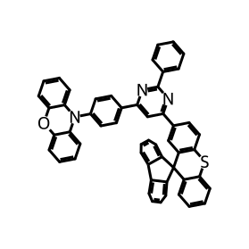 c1ccc(-c2nc(-c3ccc(N4c5ccccc5Oc5ccccc54)cc3)cc(-c3ccc4c(c3)C3(c5ccccc5S4)c4ccccc4-c4ccccc43)n2)cc1